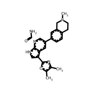 Cc1nc(-c2c[nH]c3ncc(-c4ccc5c(c4)CN(C)CC5)cc23)oc1C.NC=O